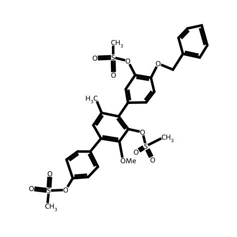 COc1c(-c2ccc(OS(C)(=O)=O)cc2)cc(C)c(-c2ccc(OCc3ccccc3)c(OS(C)(=O)=O)c2)c1OS(C)(=O)=O